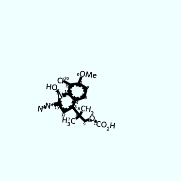 COc1ccc2c(C(C)(C)COC(=O)O)cc(=[N+]=[N-])n(O)c2c1Cl